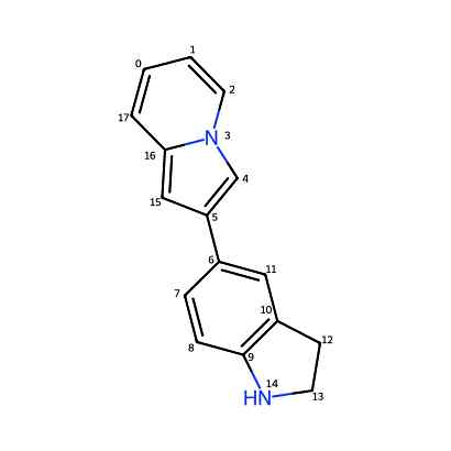 c1ccn2cc(-c3ccc4c(c3)CCN4)cc2c1